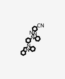 N#Cc1ccc2nc3n(-c4cccc(-n5c6ccccc6n6c7ccccc7cc56)c4)c4ccccc4n3c2c1